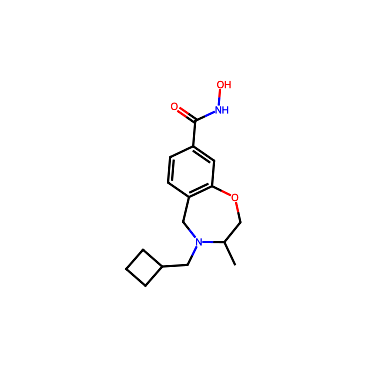 CC1COc2cc(C(=O)NO)ccc2CN1CC1CCC1